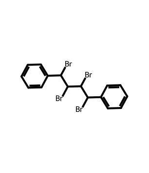 BrC(c1ccccc1)C(Br)C(Br)C(Br)c1ccccc1